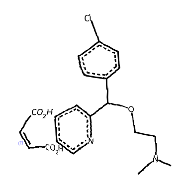 CN(C)CCOC(c1ccc(Cl)cc1)c1ccccn1.O=C(O)/C=C\C(=O)O